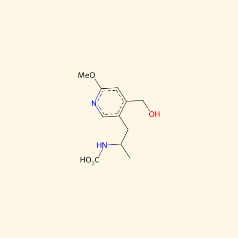 COc1cc(CO)c(CC(C)NC(=O)O)cn1